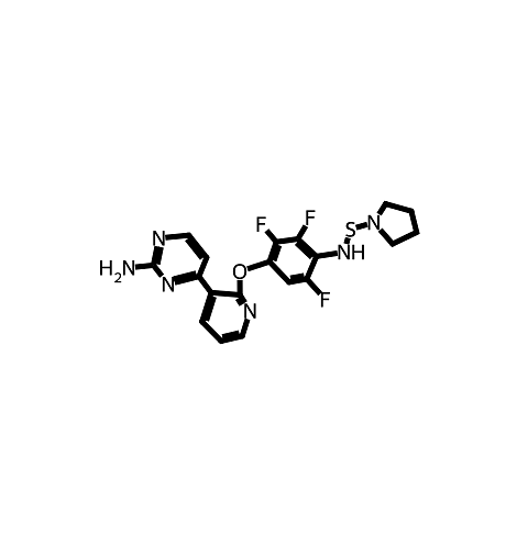 Nc1nccc(-c2cccnc2Oc2cc(F)c(NSN3CCCC3)c(F)c2F)n1